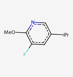 COc1ncc(C(C)C)cc1F